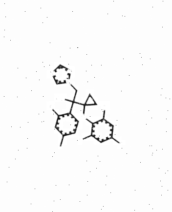 Cc1ccc(C(O)(Cn2cncn2)C2(Oc3c(F)cc(F)cc3F)CC2)c(F)c1